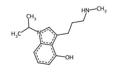 CNCCCc1cn(C(C)C)c2cccc(O)c12